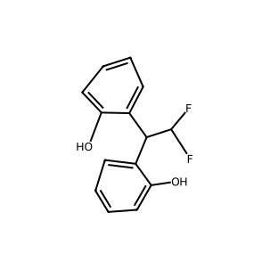 Oc1ccccc1C(c1ccccc1O)C(F)F